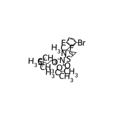 CC(C)(C)OC(=O)N(COCC[Si](C)(C)C)C1=N[C@](C)(c2cc(Br)ccc2F)C2C[C@]2(CF)S1